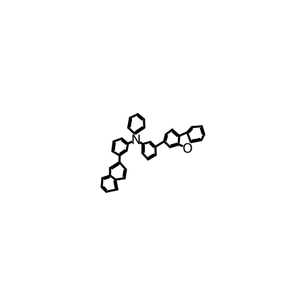 c1ccc(N(c2cccc(-c3ccc4ccccc4c3)c2)c2cccc(-c3ccc4c(c3)oc3ccccc34)c2)cc1